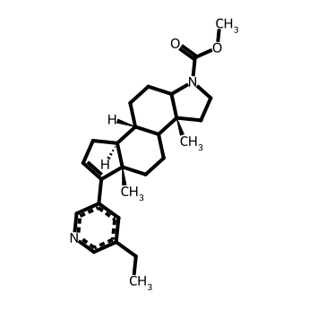 CCc1cncc(C2=CC[C@H]3[C@@H]4CCC5N(C(=O)OC)CC[C@]5(C)C4CC[C@]23C)c1